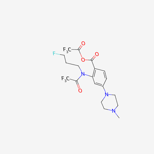 CN1CCN(c2ccc(C(=O)OC(=O)C(F)(F)F)c(N(CCCF)C(=O)C(F)(F)F)c2)CC1